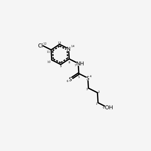 OCCCSC(=S)Nc1ccc(Cl)cn1